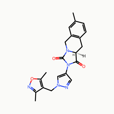 Cc1ccc2c(c1)CN1C(=O)N(c3cnn(Cc4c(C)noc4C)c3)C(=O)[C@@H]1C2